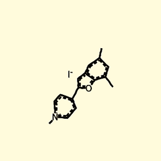 Cc1cc(C)c2oc(-c3cc[n+](C)cc3)cc2c1.[I-]